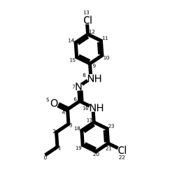 CCCCC(=O)/C(=N/Nc1ccc(Cl)cc1)Nc1cccc(Cl)c1